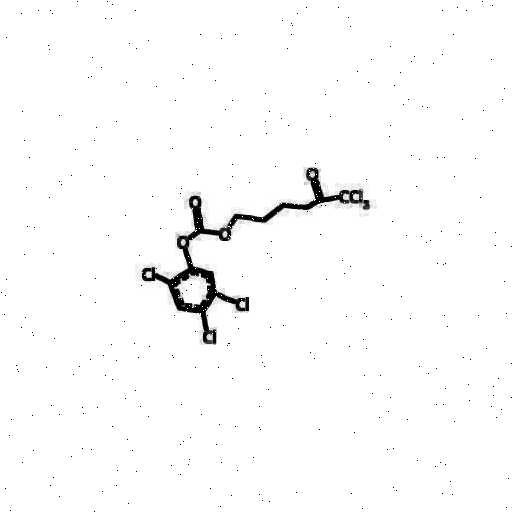 O=C(OCCCCC(=O)C(Cl)(Cl)Cl)Oc1cc(Cl)c(Cl)cc1Cl